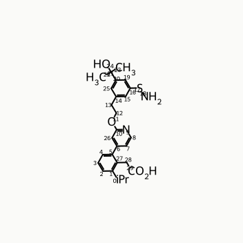 CC(C)c1cccc(-c2ccnc(OCCc3cc(SN)cc(C(C)(C)O)c3)c2)c1CC(=O)O